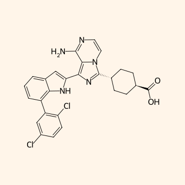 Nc1nccn2c1c(-c1cc3cccc(-c4cc(Cl)ccc4Cl)c3[nH]1)nc2[C@H]1CC[C@H](C(=O)O)CC1